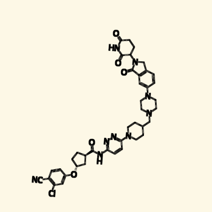 N#Cc1ccc(O[C@@H]2CC[C@@H](C(=O)Nc3ccc(N4CCC(CN5CCN(c6ccc7c(c6)C(=O)N(C6CCC(=O)NC6=O)C7)CC5)CC4)nn3)C2)cc1Cl